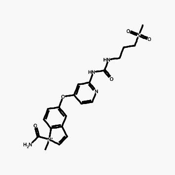 C[N+]1(C(N)=O)C=Cc2cc(Oc3ccnc(NC(=O)NCCCS(C)(=O)=O)c3)ccc21